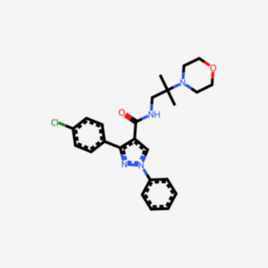 CC(C)(CNC(=O)c1cn(-c2ccccc2)nc1-c1ccc(Cl)cc1)N1CCOCC1